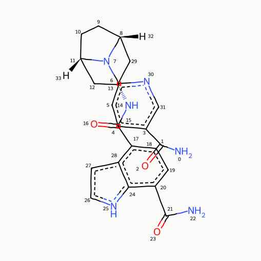 NC(=O)c1ccc(N2[C@@H]3CC[C@H]2C[C@@H](NC(=O)c2ccc(C(N)=O)c4[nH]ccc24)C3)nc1